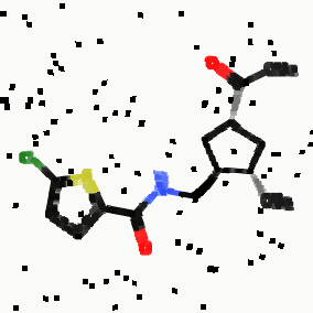 COC(=O)[C@H]1C[C@H](CNC(=O)c2ccc(Cl)s2)[C@@H](OC)C1